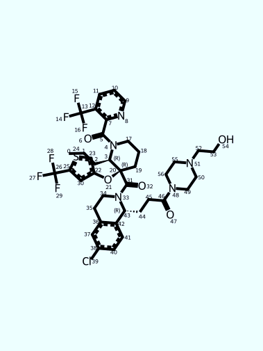 CCC[C@H]1N(C(=O)c2ncccc2C(F)(F)F)CCC[C@]1(Oc1csc(C(F)(F)F)c1)C(=O)N1CCc2cc(Cl)ccc2[C@H]1CCC(=O)N1CCN(CCO)CC1